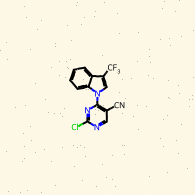 N#Cc1cnc(Cl)nc1-n1cc(C(F)(F)F)c2ccccc21